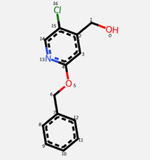 OCc1cc(OCc2ccccc2)ncc1Cl